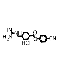 Cl.N#Cc1ccc(OC(=O)C2CCC(CNC(=N)N)CC2)cc1